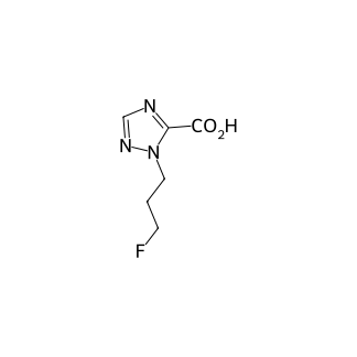 O=C(O)c1ncnn1CCCF